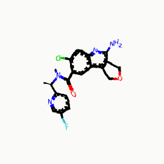 C[C@H](c1ccc(F)cn1)N(C)C(=O)c1cc2c3c(c(N)nc2cc1Cl)COC3